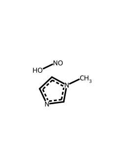 Cn1ccnc1.O=NO